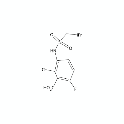 CC(C)CS(=O)(=O)Nc1ccc(F)c(C(=O)O)c1Cl